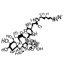 COP(=O)(O)P(=O)(O)O[C@H]1O[C@H](CO)C(O[C@@H]2O[C@H](CO)[C@@H](O)[C@H](O)[C@H]2NC(C)=O)[C@H](O[C@H](C)C(=O)N[C@@H](C)C(=O)N[C@H](CCC(=O)N[C@@H](CCCCN=[N+]=[N-])C(=O)O)C(N)=O)[C@H]1NC(C)=O